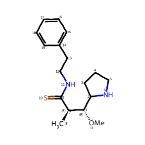 CO[C@@H](C1CCCN1)[C@@H](C)C(=S)NCCc1ccccc1